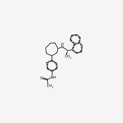 CC(=O)Nc1ccc(C2CCCCC(N[C@H](C)c3cccc4ccccc34)C2)cc1